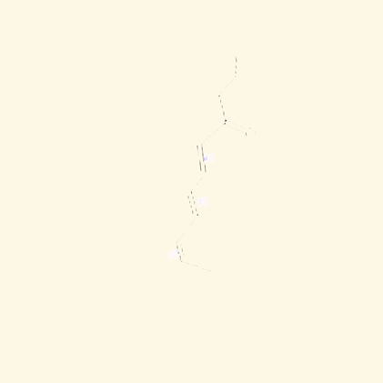 C\C=C/C=C/C=C/C(=O)CCC